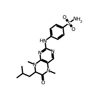 CC(C)CC1C(=O)N(C)c2cnc(Nc3ccc(S(N)(=O)=O)cc3)nc2N1C